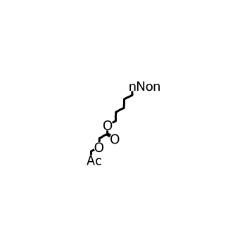 CCCCCCCCCCCCCCOC(=O)COCC(C)=O